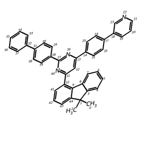 CC1(C)c2ccccc2-c2c(-c3cc(-c4ccc(-c5cccnc5)cc4)nc(-c4ccc(-c5ccccc5)cc4)n3)cccc21